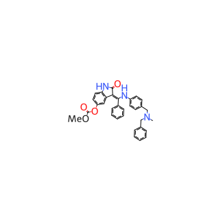 COC(=O)Oc1ccc2c(c1)/C(=C(/Nc1ccc(CN(C)Cc3ccccc3)cc1)c1ccccc1)C(=O)N2